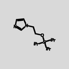 CC(C)[Si](OCCn1ccnc1)(C(C)C)C(C)C